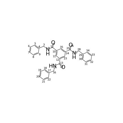 O=C(NCc1ccccc1)c1cc(C(=O)NCc2ccccc2)cc(C(=O)NCc2ccccc2)c1